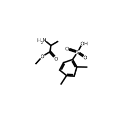 COC(=O)C(C)N.Cc1ccc(S(=O)(=O)O)c(C)c1